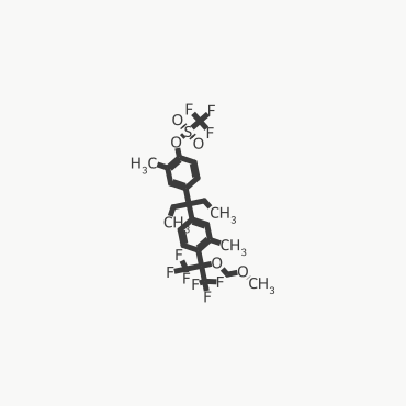 CCC(CC)(c1ccc(OS(=O)(=O)C(F)(F)F)c(C)c1)c1ccc(C(OCOC)(C(F)(F)F)C(F)(F)F)c(C)c1